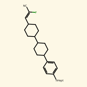 CCCCCCCc1ccc(C2CCC(C3CCC(C=C(F)C#N)CC3)CC2)cc1